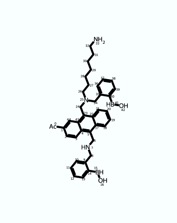 CC(=O)c1ccc2c(CNCc3ccccc3BO)c3ccccc3c(CN(CCCCCCCN)Cc3ccccc3BO)c2c1